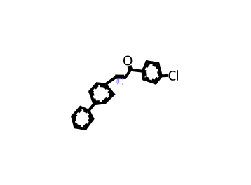 O=C(/C=C/c1ccc(-c2ccccc2)cc1)c1ccc(Cl)cc1